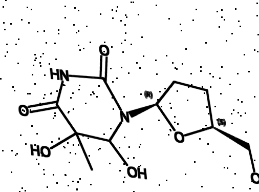 CC1(O)C(=O)NC(=O)N([C@H]2CC[C@@H](CO)O2)C1O